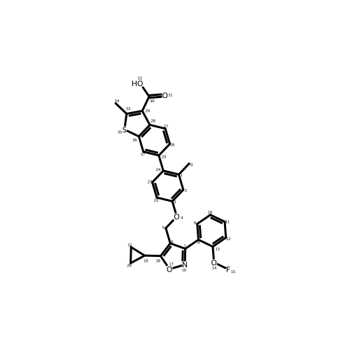 Cc1cc(OCc2c(-c3ccccc3OF)noc2C2CC2)ccc1-c1ccc2c(C(=O)O)c(C)sc2c1